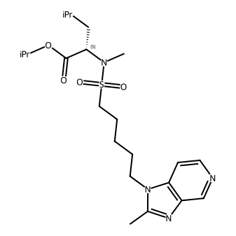 Cc1nc2cnccc2n1CCCCCS(=O)(=O)N(C)[C@@H](CC(C)C)C(=O)OC(C)C